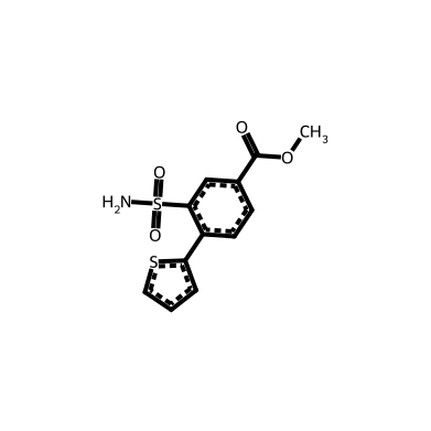 COC(=O)c1ccc(-c2cccs2)c(S(N)(=O)=O)c1